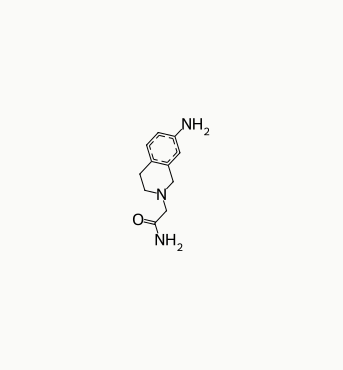 NC(=O)CN1CCc2ccc(N)cc2C1